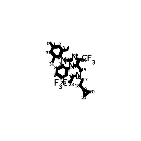 Cc1cc(C)c(-n2c3ccccc3n3c(CN(CCC4CC4)CCC(F)(F)F)c(C(F)(F)F)nc23)c(C)c1